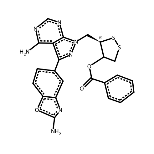 Nc1nc2cc(-c3nn(C[C@H]4SSCC4OC(=O)c4ccccc4)c4ncnc(N)c34)ccc2o1